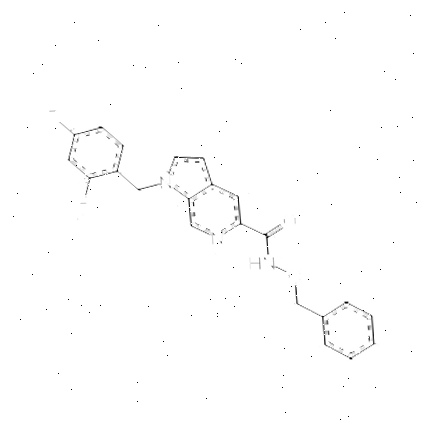 O=C(NOCc1ccccc1)c1cc2ccn(Cc3ccc(F)cc3F)c2cn1